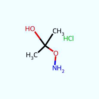 CC(C)(O)ON.Cl